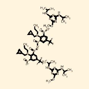 CCCN(CC1CC1)c1c([N+](=O)[O-])cc(C(F)(F)F)cc1[N+](=O)[O-].CCCN(CC1CC1)c1c([N+](=O)[O-])cc(C(F)(F)F)cc1[N+](=O)[O-].COc1nc(NC(C)C)nc(NC(C)C)n1.COc1nc(NC(C)C)nc(NC(C)C)n1